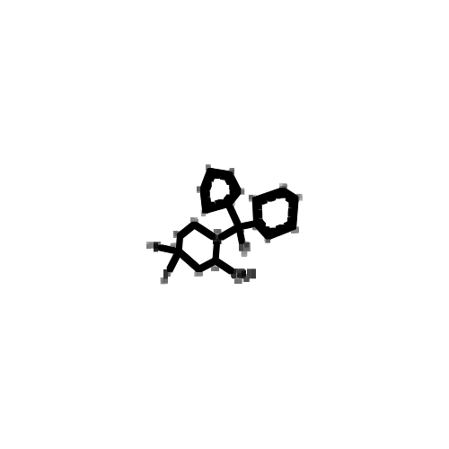 CCC(c1ccccc1)(c1ccccc1)N1CCC(F)(F)CC1C(=O)O